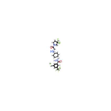 O=C(NC[C@H]1CC[C@@H](NCC(=O)N2CCC(F)(F)C2)CC1)c1cc(CF)cc(C(F)(F)F)c1